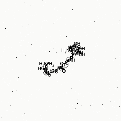 Nc1nc(SCC(=O)c2ccc(NC(=O)COCCNC(=O)C(CSSCCC(=O)NCC#Cc3cn(C4CC(O)C(COP(P)P)O4)c(=O)[nH]c3=O)NC(=O)C3CCCCC3)cc2)nc2c1ncn2[C@H]1CC(O)[C@@H](COP(=O)(O)C(F)(F)P(=O)(O)OP(=O)(O)O)O1